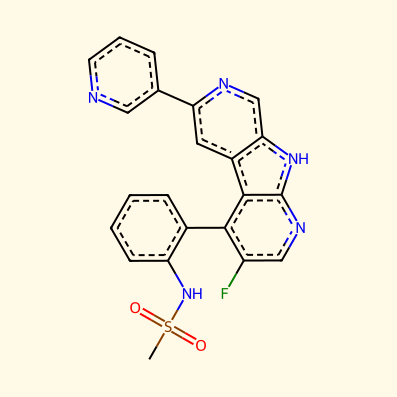 CS(=O)(=O)Nc1ccccc1-c1c(F)cnc2[nH]c3cnc(-c4cccnc4)cc3c12